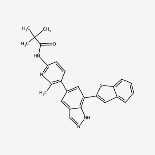 Cc1nc(NC(=O)C(C)(C)C)ccc1-c1cc(-c2cc3ccccc3s2)c2[nH]ncc2c1